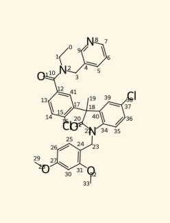 CCN(Cc1cccnc1)C(=O)c1ccc(Cl)c(C2(C)C(=O)N(Cc3ccc(OC)cc3OC)c3ccc(Cl)cc32)c1